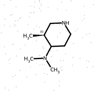 C[C@H]1CNCCC1N(C)C